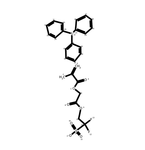 C=C(C)C(=O)OCC(=O)OCC(F)(F)S(=O)(=O)[O-].c1ccc([S+](c2ccccc2)c2ccccc2)cc1